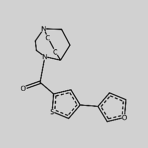 O=C(c1cc(-c2ccoc2)cs1)N1CCN2CCC1CC2